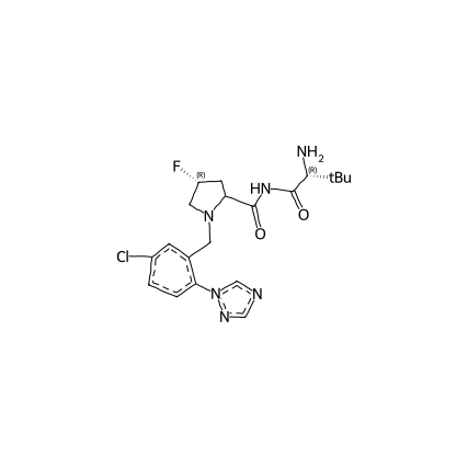 CC(C)(C)[C@@H](N)C(=O)NC(=O)C1C[C@@H](F)CN1Cc1cc(Cl)ccc1-n1cncn1